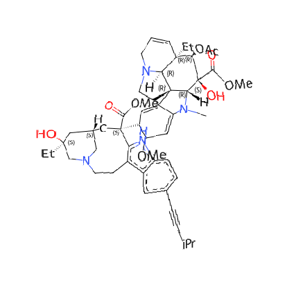 CC[C@]1(O)C[C@H]2CN(CCc3c([nH]c4ccc(C#CC(C)C)cc34)[C@@](C(=O)OC)(C3C=C4C(=CC3OC)N(C)[C@H]3[C@@](O)(C(=O)OC)[C@H](OC(C)=O)[C@]5(CC)C=CCN6CC[C@]43[C@@H]65)C2)C1